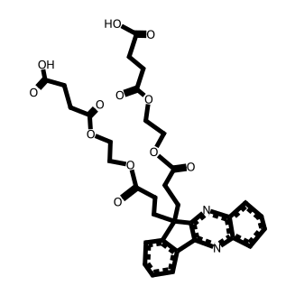 O=C(O)CCC(=O)OCCOC(=O)CCC1(CCC(=O)OCCOC(=O)CCC(=O)O)c2ccccc2-c2nc3ccccc3nc21